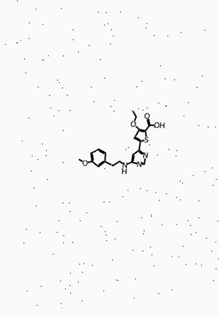 CCOc1cc(-c2cc(NCCc3cccc(OC)c3)ncn2)sc1C(=O)O